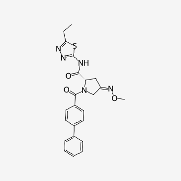 CCc1nnc(NC(=O)[C@@H]2CC(=NOC)CN2C(=O)c2ccc(-c3ccccc3)cc2)s1